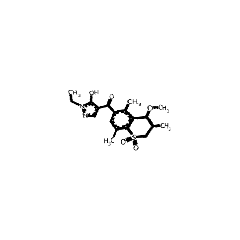 CCn1ncc(C(=O)c2cc(C)c3c(c2C)C(OC)C(C)CS3(=O)=O)c1O